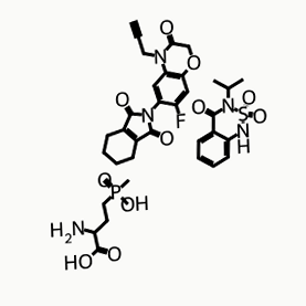 C#CCN1C(=O)COc2cc(F)c(N3C(=O)C4=C(CCCC4)C3=O)cc21.CC(C)N1C(=O)c2ccccc2NS1(=O)=O.CP(=O)(O)CCC(N)C(=O)O